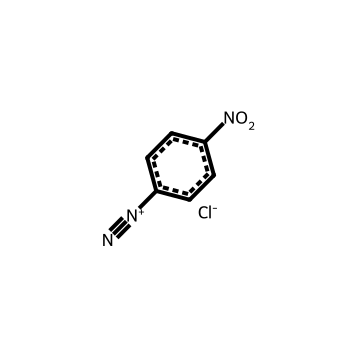 N#[N+]c1ccc([N+](=O)[O-])cc1.[Cl-]